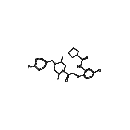 CC1CN(C(=O)COc2ccc(Cl)cc2NC(=O)C2CCCC2)C(C)CN1Cc1ccc(F)cc1